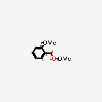 COOCc1ccccc1OC